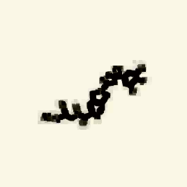 CNC(=O)CNC(=O)c1cc2c(cn1)CN(C1=NOC(c3cc(Cl)c(F)c(Cl)c3)(C(F)(F)F)C1)C2